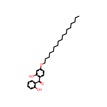 CCCCCCCCCCCCCCCCCOc1ccc(C(=O)c2ccccc2O)c(O)c1